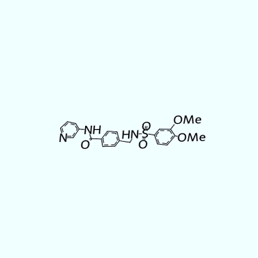 COc1ccc(S(=O)(=O)NCc2ccc(C(=O)Nc3cccnc3)cc2)cc1OC